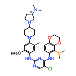 COc1cc(N2CCC(N3CC[C@@H](N(C)C)C3)CC2)c(C)cc1Nc1ncc(Cl)c(Nc2ccc3c(c2P(C)C)OCCO3)n1